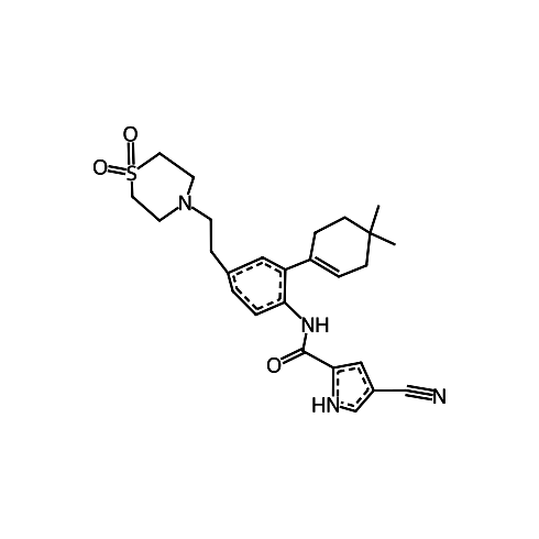 CC1(C)CC=C(c2cc(CCN3CCS(=O)(=O)CC3)ccc2NC(=O)c2cc(C#N)c[nH]2)CC1